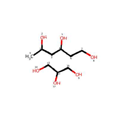 CC(O)CC(O)CCO.OCC(O)CO